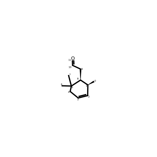 C[C@H]1C=CCC(C)(C)[C@H]1CC=O